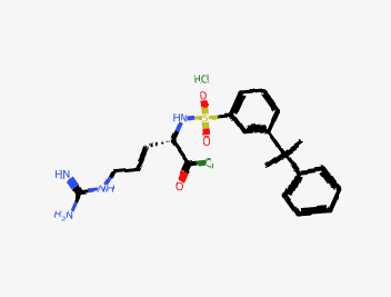 CC(C)(c1ccccc1)c1cccc(S(=O)(=O)N[C@@H](CCCNC(=N)N)C(=O)Cl)c1.Cl